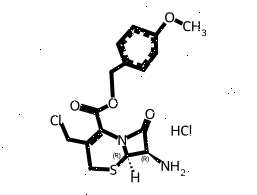 COc1ccc(COC(=O)C2=C(CCl)CS[C@@H]3[C@H](N)C(=O)N23)cc1.Cl